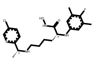 Cc1cc(N[C@H](CCCCN[C@H](C)c2ccc(Cl)cn2)C(=O)NO)cc(C)c1F